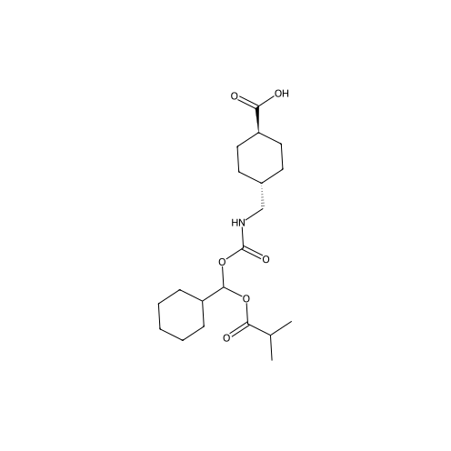 CC(C)C(=O)OC(OC(=O)NC[C@H]1CC[C@H](C(=O)O)CC1)C1CCCCC1